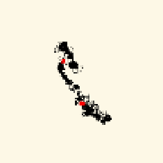 NC(Cc1ccc(OCCCCCCN2CCN(CCNC(=O)CNc3cc(C(=O)NCC(O)CN4CCc5ccccc5C4)ncn3)CC2)cc1)C(=O)N1C/C(=C\c2ccc(Cl)c(Cl)c2)C(=O)/C(=C/c2ccc(Cl)c(Cl)c2)C1